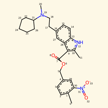 Cc1ccc(COC(=O)c2c(C)[nH]c3ccc(CCN(C)C4CCCCC4)cc23)cc1[N+](=O)[O-]